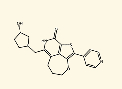 O=c1[nH]c(CN2CC[C@H](O)C2)c2c3c(c(-c4ccncc4)sc13)OCCC2